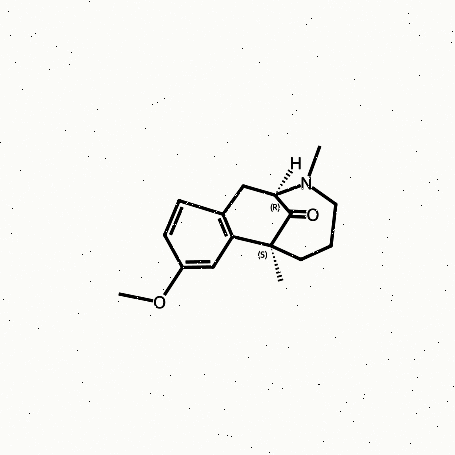 COc1ccc2c(c1)[C@]1(C)CCCN(C)[C@H](C2)C1=O